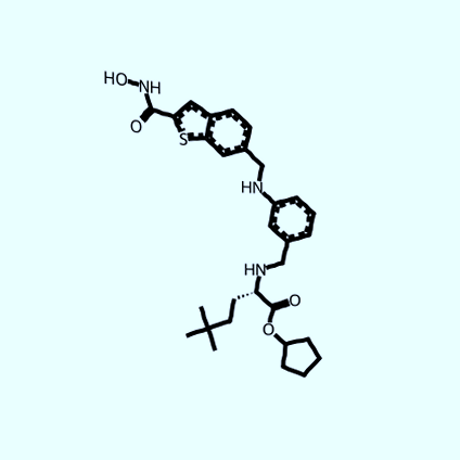 CC(C)(C)CC[C@H](NCc1cccc(NCc2ccc3cc(C(=O)NO)sc3c2)c1)C(=O)OC1CCCC1